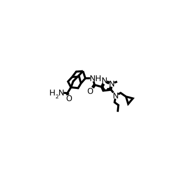 CCCN(CC1CC1)c1cc(C(=O)NC2C3CC4CC2CC(C(N)=O)(C4)C3)nn1C